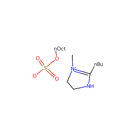 CCCCC1=[N+](C)CCN1.CCCCCCCCOS(=O)(=O)[O-]